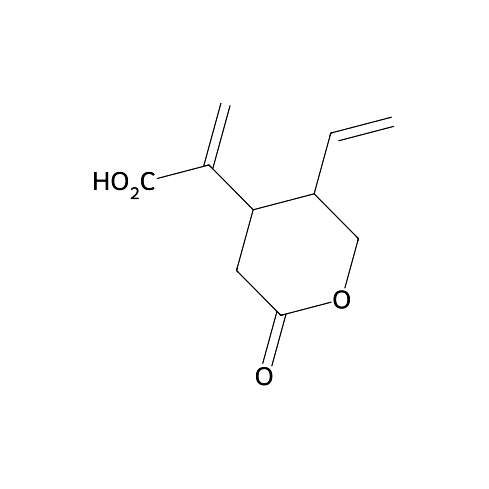 C=CC1COC(=O)CC1C(=C)C(=O)O